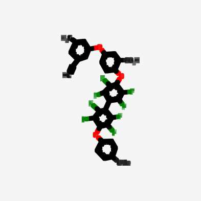 C#Cc1cc(C)cc(Oc2ccc(Oc3c(F)c(F)c(-c4c(F)c(F)c(Oc5ccc(OC)cc5)c(F)c4F)c(F)c3F)c(S(=O)(=O)O)c2)c1